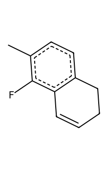 Cc1ccc2c(c1F)C=CCC2